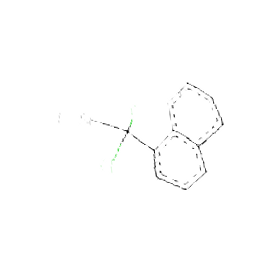 [SiH3]C(Cl)(Cl)c1cccc2ccccc12